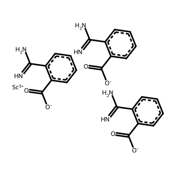 N=C(N)c1ccccc1C(=O)[O-].N=C(N)c1ccccc1C(=O)[O-].N=C(N)c1ccccc1C(=O)[O-].[Sc+3]